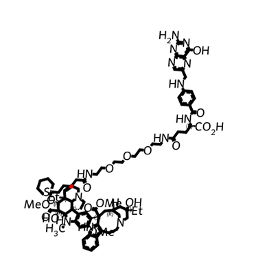 CC[C@]1(O)C[C@@H]2CN(CCc3c([nH]c4ccccc34)[C@@](C(=O)OC)(c3cc4c(cc3OC)N(C)[C@H]3[C@@](O)(C(=O)OC)[C@H](O[Si]5(CCCCC(=O)NCCOCCOCCOCCNC(=O)CC[C@@H](NC(=O)c6ccc(NCc7cnc8nc(N)nc(O)c8n7)cc6)C(=O)O)CCCCC5)[C@]5(CC)C=CCN6CC[C@]43C65)C2)C1